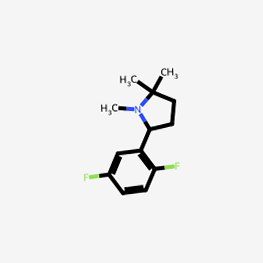 CN1C(c2cc(F)ccc2F)CCC1(C)C